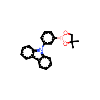 CC1(C)COB(c2cccc(-n3c4ccccc4c4ccccc43)c2)O1